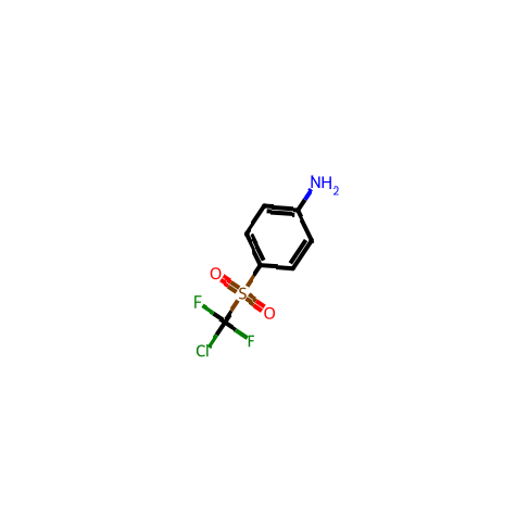 Nc1ccc(S(=O)(=O)C(F)(F)Cl)cc1